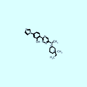 CC[C@@]1(C)CCC[C@@H](N(C)c2cnc(-c3ccc(-n4ccnc4)cc3O)nn2)C1